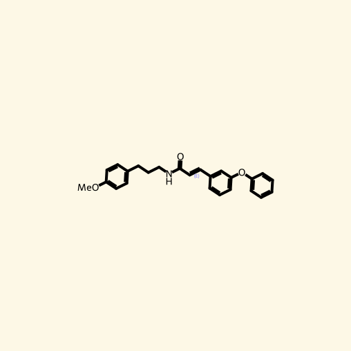 COc1ccc(CCCNC(=O)/C=C/c2cccc(Oc3ccccc3)c2)cc1